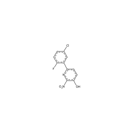 O=[N+]([O-])c1nc(-c2cc(Cl)ccc2F)ccc1O